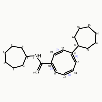 O=C(NC1CCCCCC1)C1=C/C=C\C=C(C2CCCCCC2)/C=C\1